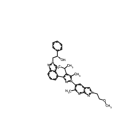 COCCn1cc2cc(-n3nc(-c4cccc5nn(C[C@H](O)c6ccccc6)cc45)c(C(C)C)c3C)c(C)nc2n1